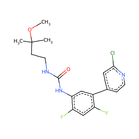 COC(C)(C)CCNC(=O)Nc1cc(-c2ccnc(Cl)c2)c(F)cc1F